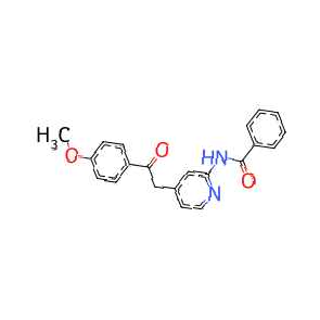 COc1ccc(C(=O)Cc2ccnc(NC(=O)c3ccccc3)c2)cc1